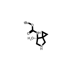 CC(C)(C)OC(=O)N[C@]1(C)CNCC12CC2